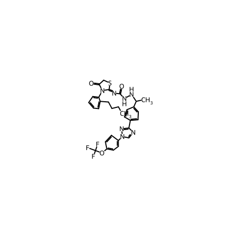 CCCCc1ccccc1N1C(=O)CS/C1=N\C(=O)NNC(C)c1ccc(-c2ncn(-c3ccc(OC(F)(F)F)cc3)n2)cc1